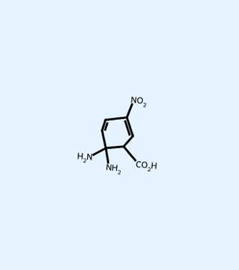 NC1(N)C=CC([N+](=O)[O-])=CC1C(=O)O